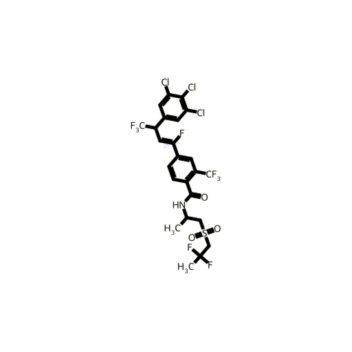 CC(CS(=O)(=O)CC(C)(F)F)NC(=O)c1ccc(/C(F)=C/C(c2cc(Cl)c(Cl)c(Cl)c2)C(F)(F)F)cc1C(F)(F)F